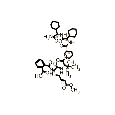 COC(=O)/C=C/CC[C@H](NC(=O)c1ccccc1C(=O)O)C(=O)N[C@H](C(=O)N1CCC[C@@H](C(=O)N[C@H](C(=O)N[C@H](C(N)=O)C2CCCCC2)C2CCCCC2)C1)C(C)(C)C